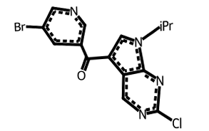 CC(C)n1cc(C(=O)c2cncc(Br)c2)c2cnc(Cl)nc21